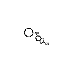 N#Cc1nc2ccc(Nc3ccccccccc3)cc2s1